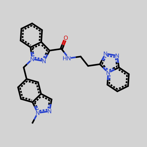 Cn1ncc2cc(Cn3nc(C(=O)NCCc4nnc5ccccn45)c4ccccc43)ccc21